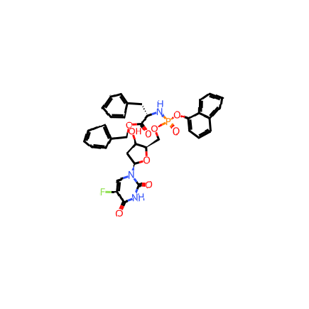 O=C(OCc1ccccc1)[C@H](Cc1ccccc1)NP(=O)(OC[C@H]1O[C@@H](n2cc(F)c(=O)[nH]c2=O)CC1O)Oc1cccc2ccccc12